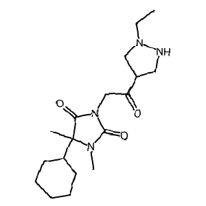 CCN1CC(C(=O)CN2C(=O)N(C)C(C)(C3CCCCC3)C2=O)CN1